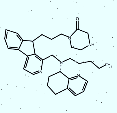 CCCCCN(Cc1nccc2c1C(CCCN1CCNCC1=O)c1ccccc1-2)[C@H]1CCCc2cccnc21